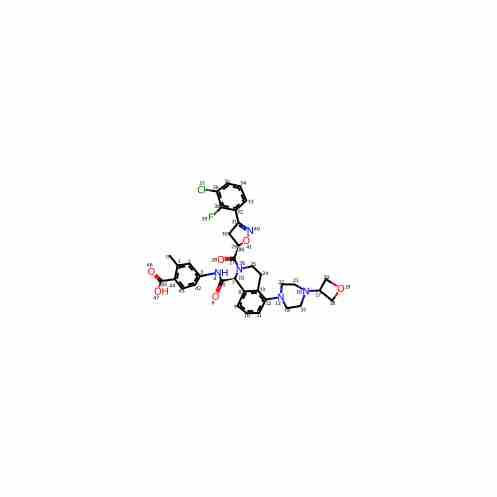 Cc1cc(NC(=O)[C@@H]2c3cccc(N4CCN(C5COC5)CC4)c3CCN2C(=O)[C@H]2CC(c3cccc(Cl)c3F)=NO2)ccc1C(=O)O